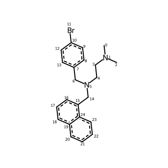 CN(C)CCN(Cc1ccc(Br)cc1)Cc1cccc2ccccc12